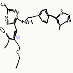 CCOC/C(=C/c1cnc(Cl)nc1NCc1ccc(-c2scnc2C)cc1)C(C)=O